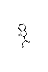 [O]CC(=O)C1Cc2ccccc2N1